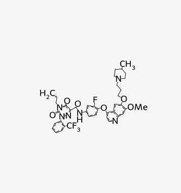 C=CCn1c(=O)c(C(=O)Nc2ccc(Oc3ccnc4cc(OC)c(OCCCN5CCC(C)CC5)cc34)c(F)c2)nn(-c2ccccc2C(F)(F)F)c1=O